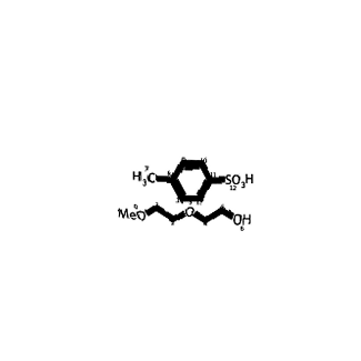 COCCOCCO.Cc1ccc(S(=O)(=O)O)cc1